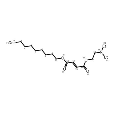 CCCCCCCCCCCCCCCCCCOC(=O)C=CC(=O)OCCN(CC)CC